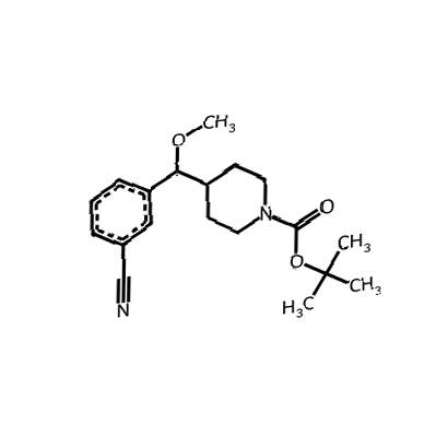 CO[C](c1cccc(C#N)c1)C1CCN(C(=O)OC(C)(C)C)CC1